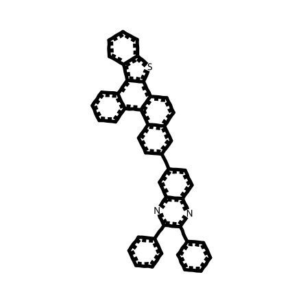 c1ccc(-c2nc3ccc(-c4ccc5c(ccc6c7sc8ccccc8c7c7ccccc7c56)c4)cc3nc2-c2ccccc2)cc1